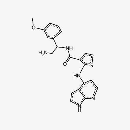 COc1cccc(C(CN)NC(=O)c2ccsc2Nc2ccnc3[nH]ccc23)c1